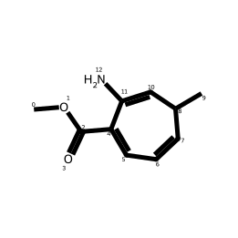 COC(=O)C1=CC=CC(C)C=C1N